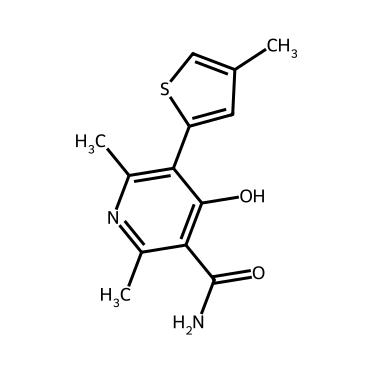 Cc1csc(-c2c(C)nc(C)c(C(N)=O)c2O)c1